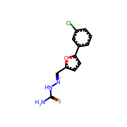 NC(=S)N/N=C/c1ccc(-c2cccc(Cl)c2)o1